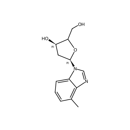 Cc1cccc2c1ncn2[C@H]1C[C@@H](O)C(CO)O1